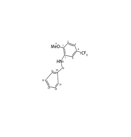 COc1ccc(C(F)(F)F)cc1NCc1ccccc1